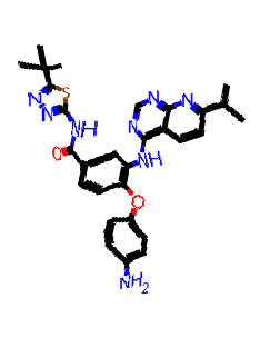 CC(C)c1ccc2c(Nc3cc(C(=O)Nc4nnc(C(C)(C)C)s4)ccc3Oc3ccc(N)cc3)ncnc2n1